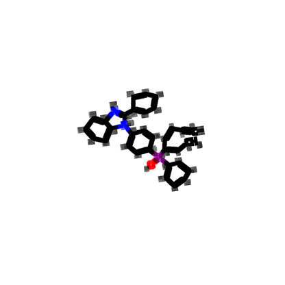 C#C/C=C\C(=C/C)P(=O)(c1ccccc1)c1ccc(-n2c(-c3ccccc3)nc3ccccc32)cc1